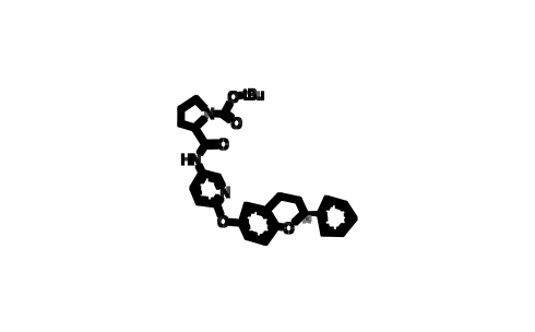 CC(C)(C)OC(=O)N1CCCC1C(=O)Nc1ccc(Oc2ccc3c(c2)CC[C@@H](c2ccccc2)O3)nc1